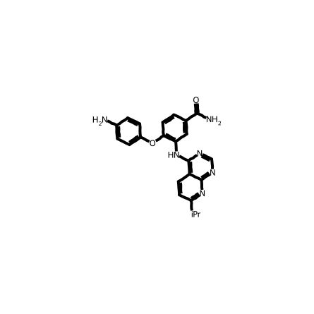 CC(C)c1ccc2c(Nc3cc(C(N)=O)ccc3Oc3ccc(N)cc3)ncnc2n1